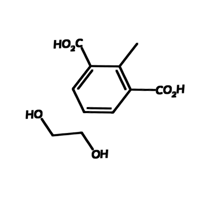 Cc1c(C(=O)O)cccc1C(=O)O.OCCO